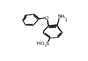 Nc1ccc(S(=O)(=O)O)cc1Oc1ccccc1